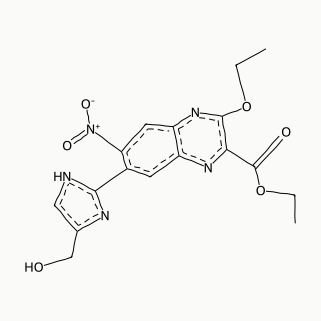 CCOC(=O)c1nc2cc(-c3nc(CO)c[nH]3)c([N+](=O)[O-])cc2nc1OCC